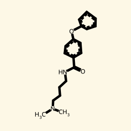 CN(C)CCCCNC(=O)c1ccc(Oc2ccccc2)cc1